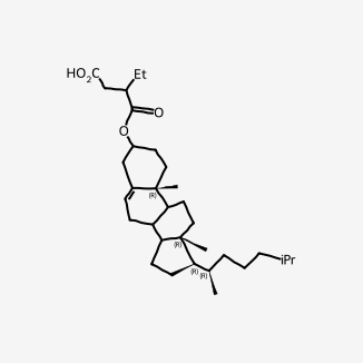 CCC(CC(=O)O)C(=O)OC1CC[C@@]2(C)C(=CCC3C2CC[C@@]2(C)C3CC[C@@H]2[C@H](C)CCCC(C)C)C1